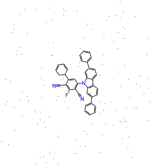 N#Cc1c(C2C=CC=CC2)cc(-n2c3cc(-c4ccccc4)ccc3c3ccc(-c4ccccc4)cc32)c(C#N)c1F